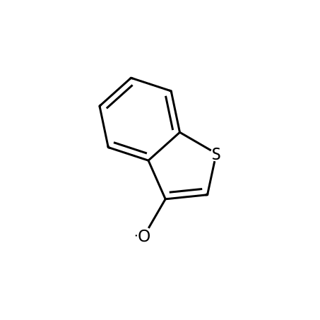 [O]c1csc2ccccc12